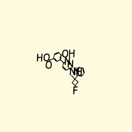 O=C(O)c1ccc(O)c(-c2ccc(NCC3(c4ccccn4)CC(F)C3)nn2)c1